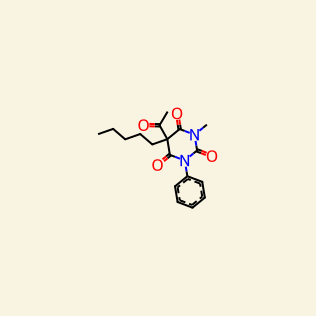 CCCCCC1(C(C)=O)C(=O)N(C)C(=O)N(c2ccccc2)C1=O